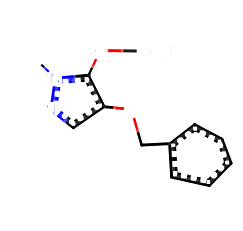 Cn1ncc(OCc2ccccc2)c1OC(=O)O